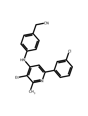 CCc1c(Nc2ccc(CC#N)cc2)cc(-c2cccc(Cl)c2)nc1C